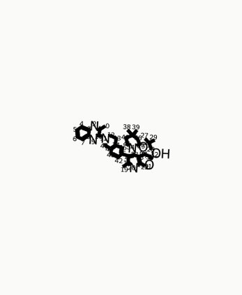 Cc1nc2ccccc2nc1N1CCc2cc(-c3c(C)nc(C)c([C@H](OC(C)(C)C)C(=O)O)c3N3CCC(C)(C)CC3)ccc2C1